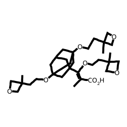 CC(C(=O)O)=C(OCCC1(C)COC1)C12CC3CC(OCCC4(C)COC4)(CC(OCCC4(C)COC4)(C3)C1)C2